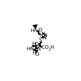 O=C(Cn1nnnc1SCC1=C(C(=O)O)N2C(=O)[C@H]3NC[C@@H](O1)[C@H]32)NC1CC1